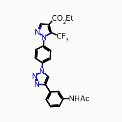 CCOC(=O)c1cnn(-c2ccc(-n3cc(-c4cccc(NC(C)=O)c4)nn3)cc2)c1C(F)(F)F